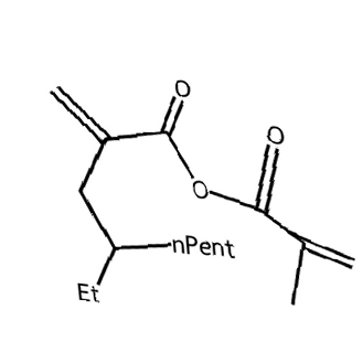 C=C(C)C(=O)OC(=O)C(=C)CC(CC)CCCCC